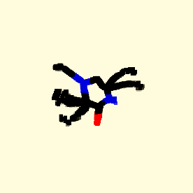 CCCN1CC(C)(C)NC(=O)C1(C)C